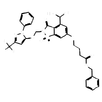 CC(C)c1cc(OCCCC(=O)OCc2ccccc2)cc2c1C(=O)N(COc1cc(C(F)(F)F)nn1-c1ccccc1)S2(=O)=O